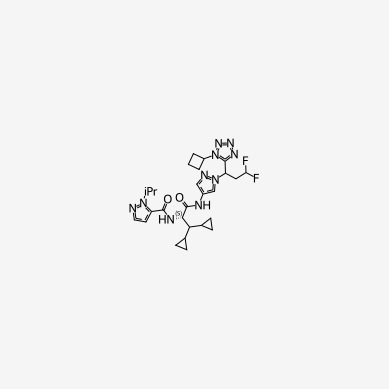 CC(C)n1nccc1C(=O)N[C@H](C(=O)Nc1cnn(C(CC(F)F)c2nnnn2C2CCC2)c1)C(C1CC1)C1CC1